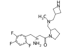 CN(CC1CNC1)CC1CCCN1C(=O)C[C@H](N)Cc1cc(F)c(F)cc1F